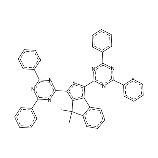 CC1(C)c2ccccc2-c2c(-c3nc(-c4ccccc4)nc(-c4ccccc4)n3)sc(-c3nc(-c4ccccc4)nc(-c4ccccc4)n3)c21